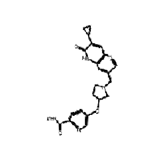 CNC(=O)c1ccc(OC2CCN(Cc3cnc4cc(C5CC5)c(=O)[nH]c4c3)C2)cn1